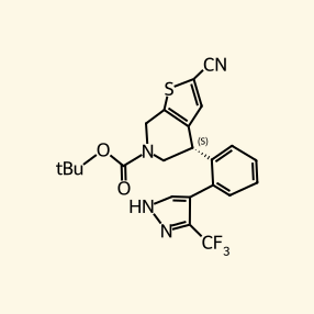 CC(C)(C)OC(=O)N1Cc2sc(C#N)cc2[C@H](c2ccccc2-c2c[nH]nc2C(F)(F)F)C1